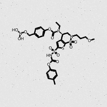 CCN(C(=O)Oc1ccc(CON(O)O)cc1)[C@H]1CN(CCCOC)S(=O)(=O)c2sc(S(=O)(=O)NC(=O)Oc3ccc(C)cc3)cc21